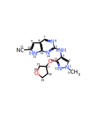 Cn1cc(Nc2ncc3cc(C#N)[nH]c3n2)c(OC2CCOC2)n1